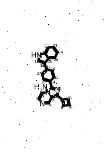 N[N+]12C=CN=CC1=C(C1=CC=C1)N=C2c1ccc(-c2c[nH]c3ccccc23)cc1